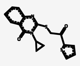 O=C(CSc1nc2ccccc2c(=O)n1C1CC1)c1cccs1